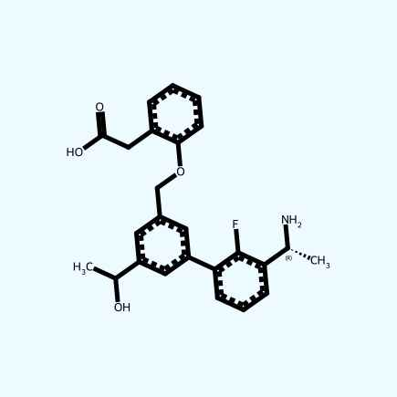 CC(O)c1cc(COc2ccccc2CC(=O)O)cc(-c2cccc([C@@H](C)N)c2F)c1